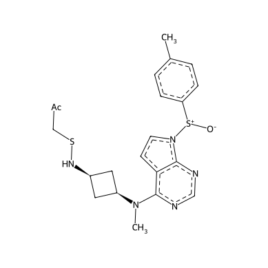 CC(=O)CSN[C@H]1C[C@@H](N(C)c2ncnc3c2ccn3[S+]([O-])c2ccc(C)cc2)C1